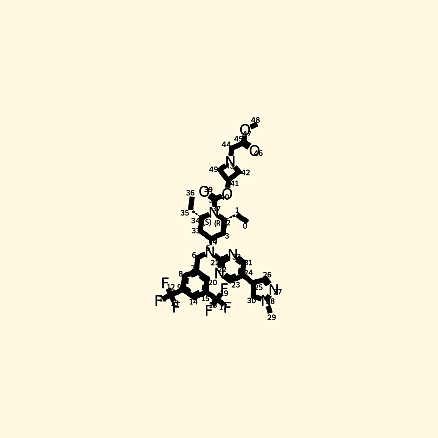 CC[C@@H]1C[C@H](N(Cc2cc(C(F)(F)F)cc(C(F)(F)F)c2)c2ncc(C3C=NN(C)C3)cn2)C[C@H](CC)N1C(=O)OC1CN(CC(=O)OC)C1